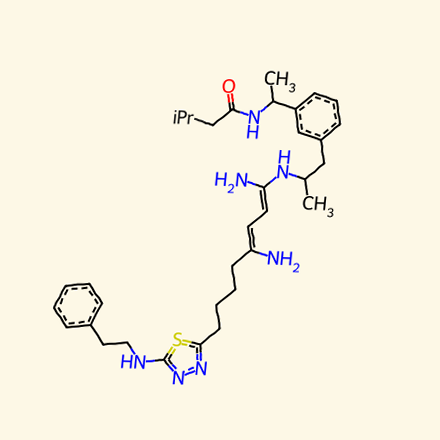 CC(C)CC(=O)NC(C)c1cccc(CC(C)N/C(N)=C/C=C(\N)CCCCc2nnc(NCCc3ccccc3)s2)c1